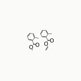 C=COC(=O)c1ccccc1C.COC(=O)c1ccccc1C